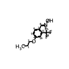 CCCOc1ccc(C=NO)c(C(F)(F)F)c1